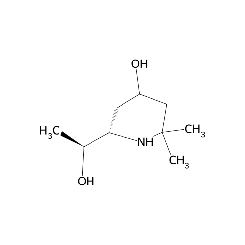 C[C@H](O)[C@@H]1CC(O)CC(C)(C)N1